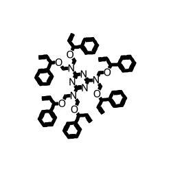 C=CC(OCN(COC(C=C)c1ccccc1)c1nc(N(COC(C=C)c2ccccc2)COC(C=C)c2ccccc2)nc(N(COC(C=C)c2ccccc2)COC(C=C)c2ccccc2)n1)c1ccccc1